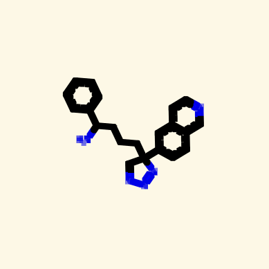 NC([CH]CCC1(c2ccc3cnccc3c2)C=NN=N1)c1ccccc1